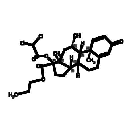 CCCOC(=O)[C@@]1(OC(=O)C(Cl)Cl)CC[C@H]2[C@@H]3CCC4=CC(=O)C=C[C@]4(C)[C@H]3[C@@H](O)C[C@@]21C